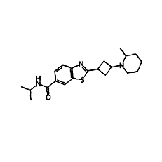 CC(C)NC(=O)c1ccc2nc(C3CC(N4CCCCC4C)C3)sc2c1